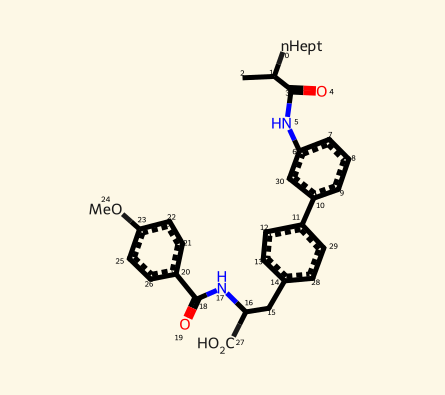 CCCCCCCC(C)C(=O)Nc1cccc(-c2ccc(CC(NC(=O)c3ccc(OC)cc3)C(=O)O)cc2)c1